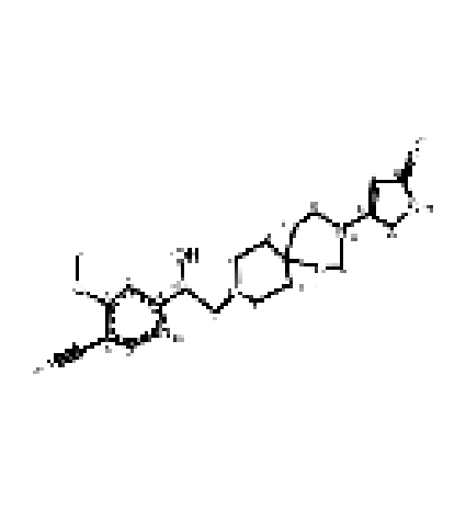 COc1cc([C@@H](O)CN2CCC3(CC2)CCN(C2=CC(=O)OC2)CC3)ncc1C#N